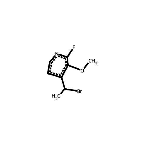 COc1c(C(C)Br)ccnc1F